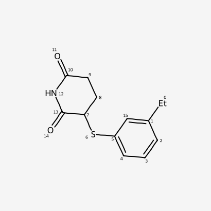 CCc1cccc(SC2CCC(=O)NC2=O)c1